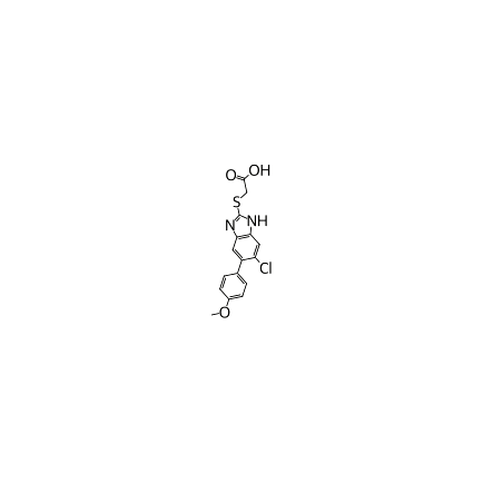 COc1ccc(-c2cc3nc(SCC(=O)O)[nH]c3cc2Cl)cc1